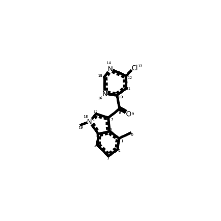 Cc1cccc2c1c(C(=O)c1cc(Cl)ncn1)cn2C